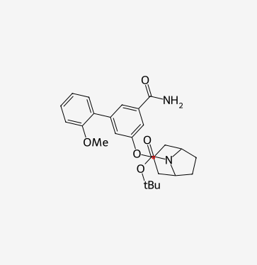 COc1ccccc1-c1cc(OC2CC3CCC(C2)N3C(=O)OC(C)(C)C)cc(C(N)=O)c1